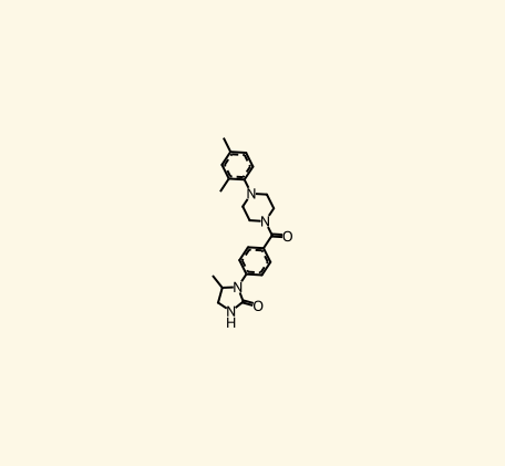 Cc1ccc(N2CCN(C(=O)c3ccc(N4C(=O)NCC4C)cc3)CC2)c(C)c1